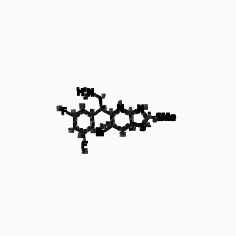 CSc1nc2nc([C@H](CN)c3cc(F)cc(F)c3)c(Br)cc2s1